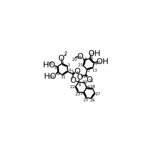 COc1cc(C(=O)OC2(OC(=O)c3cc(O)c(O)c(OC)c3)C=Cc3ccccc3C2)cc(O)c1O